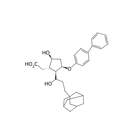 O=C(O)C[C@H]1[C@H](C(O)CCC23CC4CC(CC(C4)C2)C3)[C@H](Oc2ccc(-c3ccccc3)cc2)C[C@@H]1O